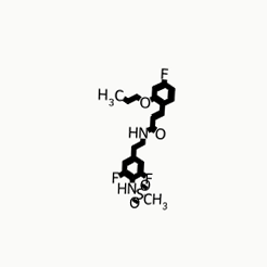 CCCOc1cc(F)ccc1C=CC(=O)NCCc1cc(F)c(NS(C)(=O)=O)c(F)c1